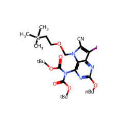 CCCCOc1nc(N(C(=O)OC(C)(C)C)C(=O)OC(C)(C)C)c2c(n1)c(I)c(C#N)n2COCC[Si](C)(C)C